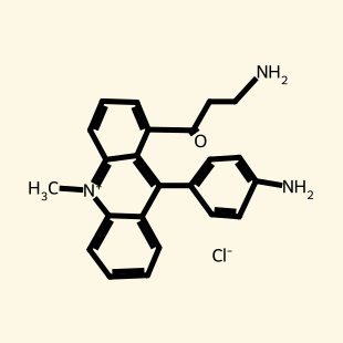 C[n+]1c2ccccc2c(-c2ccc(N)cc2)c2c(C(=O)CCN)cccc21.[Cl-]